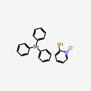 [O-][n+]1ccccc1S.c1cc[c]([Sn]([c]2ccccc2)[c]2ccccc2)cc1